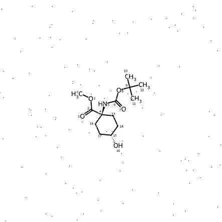 COC(=O)[C@]1(NC(=O)OC(C)(C)C)CC[C@H](O)CC1